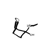 CNC1(O)CCC1=O